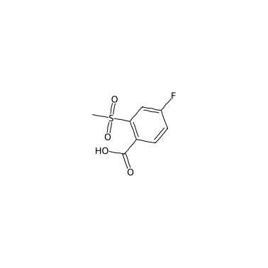 CS(=O)(=O)c1cc(F)ccc1C(=O)O